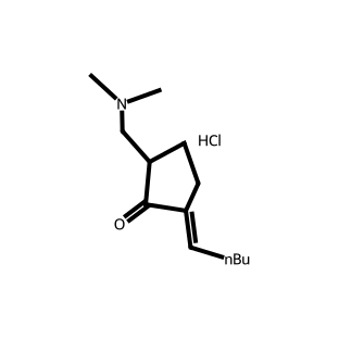 CCCC/C=C1\CCC(CN(C)C)C1=O.Cl